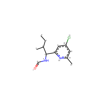 CCC(C)C(NC=O)c1cc(Cl)cc(C)n1